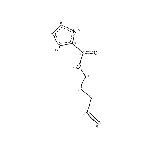 C=CCCCOC(=O)c1nccs1